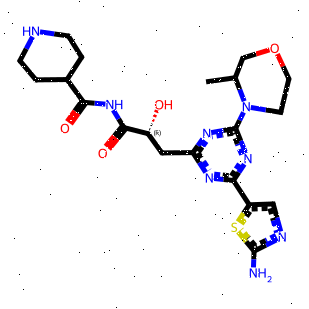 CC1COCCN1c1nc(C[C@@H](O)C(=O)NC(=O)C2CCNCC2)nc(-c2cnc(N)s2)n1